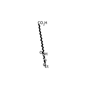 CCOCCOCCCNC(=O)CCCCCCCCCCCCCCCCCCC(=O)O